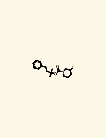 CC(C)(CCc1ccccc1)OC(=O)N1CCCC(F)C1